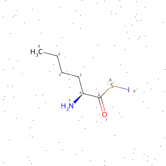 CCCC[C@H](N)C(=O)SI